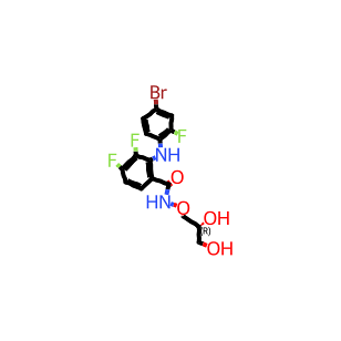 O=C(NOC[C@H](O)CO)c1ccc(F)c(F)c1Nc1ccc(Br)cc1F